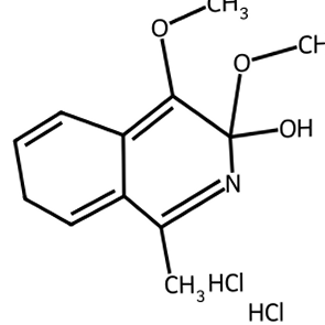 COC1=C2C=CCC=C2C(C)=NC1(O)OC.Cl.Cl